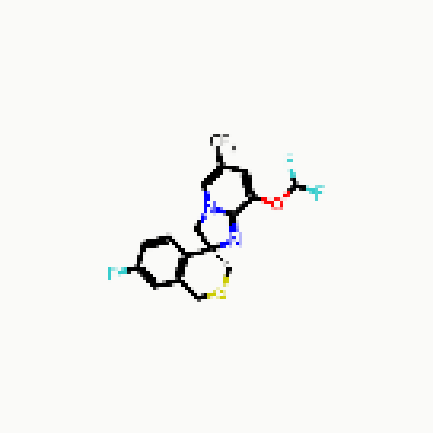 Fc1ccc2c(c1)CSC[C@@]21CN2C=C(C(F)(F)F)C=C(OC(F)F)C2=N1